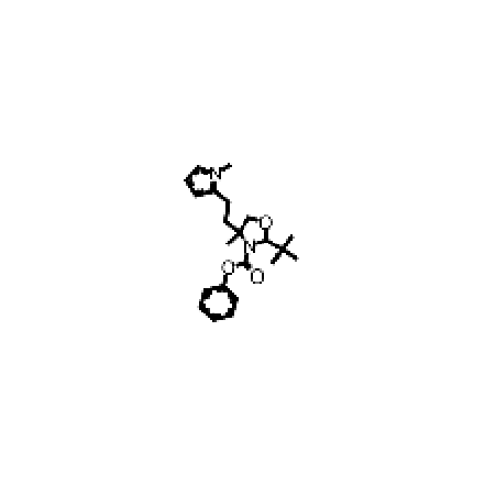 Cn1cccc1CCC1(C)COC(C(C)(C)C)N1C(=O)Oc1ccccc1